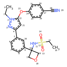 CCn1nc(-c2cccc(C3(NS(=O)(=O)CC)COC3)c2)cc1Oc1ccc(C#N)cc1